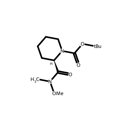 CON(C)C(=O)[C@H]1CCCCN1C(=O)OC(C)(C)C